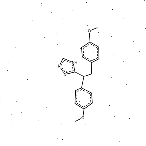 COc1ccc(CC(c2ccc(OC)cc2)c2nnc[nH]2)cc1